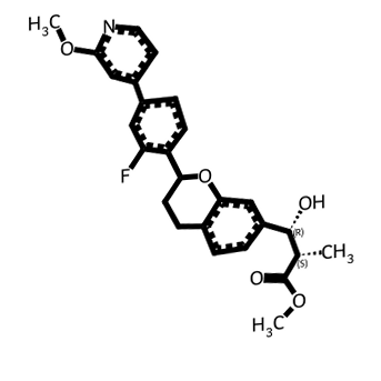 COC(=O)[C@@H](C)[C@@H](O)c1ccc2c(c1)OC(c1ccc(-c3ccnc(OC)c3)cc1F)CC2